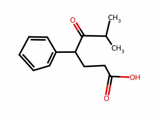 CC(C)C(=O)C(CCC(=O)O)c1ccccc1